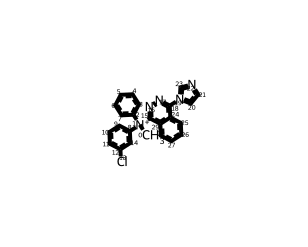 C[N+](c1ccccc1)(c1cccc(Cl)c1)c1nnc(-n2ccnc2)c2ccccc12